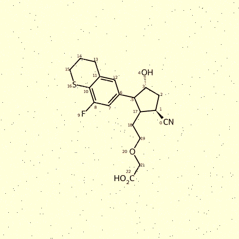 N#C[C@@H]1C[C@@H](O)C(c2cc(F)c3c(c2)CCCS3)C1CCOCC(=O)O